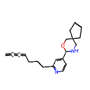 C=C=C=CCCCc1cc(C2NCC3(CCCC3)CO2)ccn1